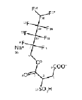 O=C([O-])CC(C(=O)OCC(F)(F)C(F)(F)C(F)(F)C(F)F)S(=O)(=O)O.[Na+]